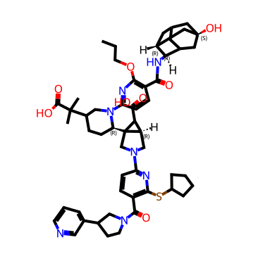 CCCOc1nc(N2CC(C(C)(C)C(=O)O)CC[C@@H]2C23CN(c4ccc(C(=O)N5CCC(c6cccnc6)C5)c(SC5CCCC5)n4)C[C@@H]2C3C(=O)O)ccc1C(=O)N[C@@H]1C2CC3C[C@@H]1C[C@](O)(C3)C2